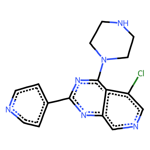 Clc1cncc2nc(-c3ccncc3)nc(N3CCNCC3)c12